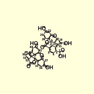 O=C(O)c1ccc2c(c1)C1(OC2=O)c2ccc(O)cc2Oc2cc(O)ccc21.O=C1OC2(c3ccc(O)cc3Oc3cc(O)ccc32)c2ccccc21